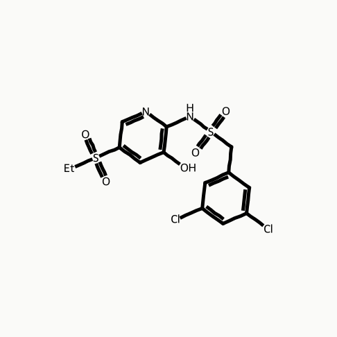 CCS(=O)(=O)c1cnc(NS(=O)(=O)Cc2cc(Cl)cc(Cl)c2)c(O)c1